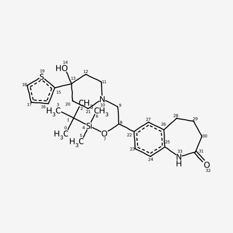 CC(C)(C)[Si](C)(C)OC(CN1CCC(O)(c2cccs2)CC1)c1ccc2c(c1)CCCC(=O)N2